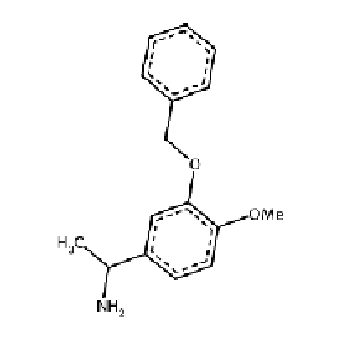 COc1ccc(C(C)N)cc1OCc1ccccc1